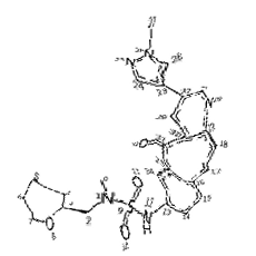 CN(C[C@@H]1CCCCO1)S(=O)(=O)Nc1ccc2ccc3ncc(-c4cnn(C)c4)cc3c(=O)c2c1